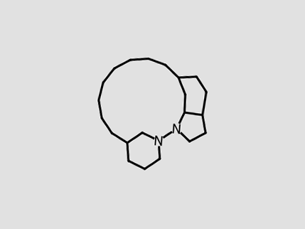 C1CCCCC2CCCN(C2)N2CCC3CCC(CCC1)CC32